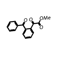 COC(=O)C(=O)c1ccccc1C(=O)c1ccccc1